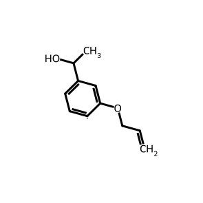 C=CCOc1[c]ccc(C(C)O)c1